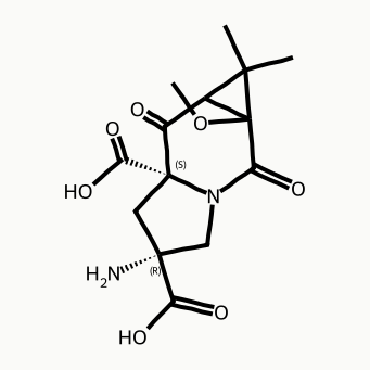 COC12C(=O)N3C[C@@](N)(C(=O)O)C[C@@]3(C(=O)O)C(=O)C1C2(C)C